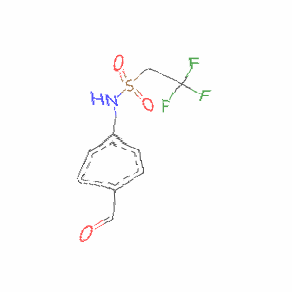 O=Cc1ccc(NS(=O)(=O)CC(F)(F)F)cc1